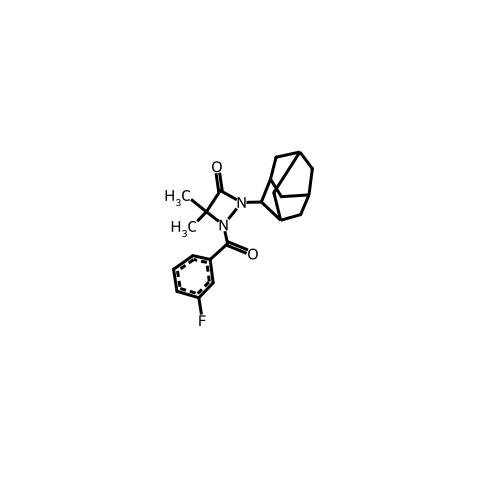 CC1(C)C(=O)N(C2C3CC4CC(C3)CC2C4)N1C(=O)c1cccc(F)c1